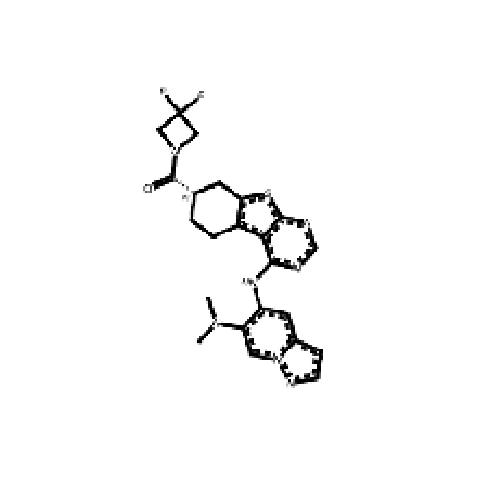 CN(C)c1cn2nccc2cc1Nc1ncnc2sc3c(c12)CC[C@H](C(=O)N1CC(F)(F)C1)C3